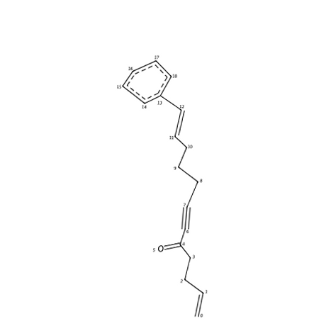 C=CCCC(=O)C#CCCC/C=C/c1ccccc1